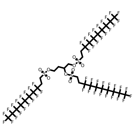 O=S(=O)(CCC(F)(F)C(F)(F)C(F)(F)C(F)(F)C(F)(F)C(F)(F)C(F)(F)C(F)(F)F)OCCC(COS(=O)(=O)CCC(F)(F)C(F)(F)C(F)(F)C(F)(F)C(F)(F)C(F)(F)C(F)(F)C(F)(F)F)OS(=O)(=O)CCC(F)(F)C(F)(F)C(F)(F)C(F)(F)C(F)(F)C(F)(F)C(F)(F)C(F)(F)F